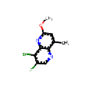 COc1cc(C)c2ncc(F)c(Br)c2n1